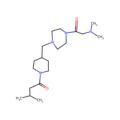 CC(C)CC(=O)N1CCC(CN2CCN(C(=O)CN(C)C)CC2)CC1